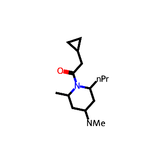 CCCC1CC(NC)CC(C)N1C(=O)CC1CC1